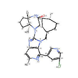 C[C@H]1CC[C@H](Cn2c(N3CC(=O)N[C@H]4CCC[C@@H]43)nc3cc(C#N)nc(-c4cncc(Cl)c4)c32)CC1